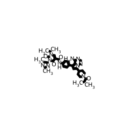 CC1=NC(C)N=C1n1c(=O)c(C(=O)Nc2ccc(-c3cc(C4CCN(C(=O)C(C)C)CC4)n4ncnc(N)c34)cc2)cn(C(C)C)c1=O